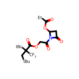 CCC(=O)OC1CC(=O)N1C(=O)COC(=O)C(CC(C)(C)C)(C(C)(C)C)C(F)(F)F